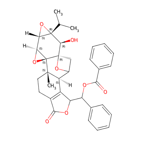 CC(C)[C@]12O[C@H]1[C@@H]1O[C@@]13[C@@]1(C)CCC4=C(C(C(OC(=O)c5ccccc5)c5ccccc5)OC4=O)[C@@H]1C1C[C@@]3(O1)[C@@H]2O